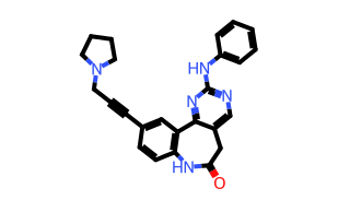 O=C1Cc2cnc(Nc3ccccc3)nc2-c2cc(C#CCN3CCCC3)ccc2N1